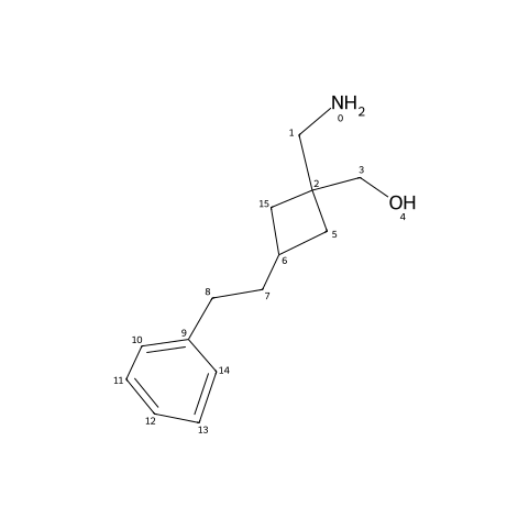 NCC1(CO)CC(CCc2ccccc2)C1